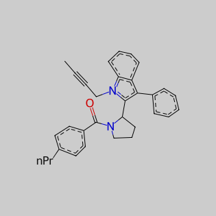 CC#CCn1c(C2CCCN2C(=O)c2ccc(CCC)cc2)c(-c2ccccc2)c2ccccc21